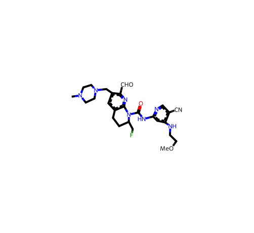 COCCNc1cc(NC(=O)N2c3nc(C=O)c(CN4CCN(C)CC4)cc3CCC2CF)ncc1C#N